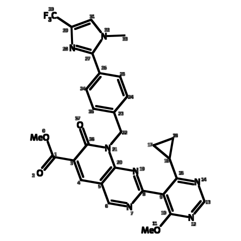 COC(=O)c1cc2cnc(-c3c(OC)ncnc3C3CC3)nc2n(Cc2ccc(-c3nc(C(F)(F)F)cn3C)cc2)c1=O